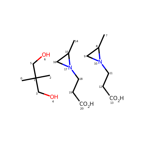 CC(C)(CO)CO.CC1CN1CCC(=O)O.CC1CN1CCC(=O)O